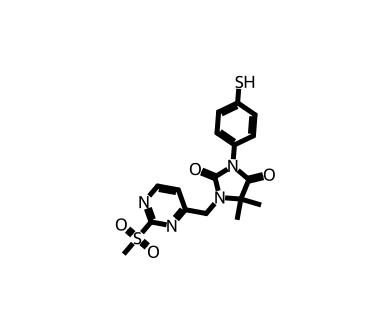 CC1(C)C(=O)N(c2ccc(S)cc2)C(=O)N1Cc1ccnc(S(C)(=O)=O)n1